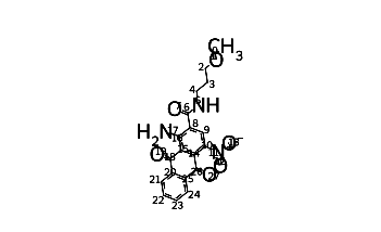 COCCCNC(=O)c1cc([N+](=O)[O-])c2c(c1N)C(=O)c1ccccc1C2=O